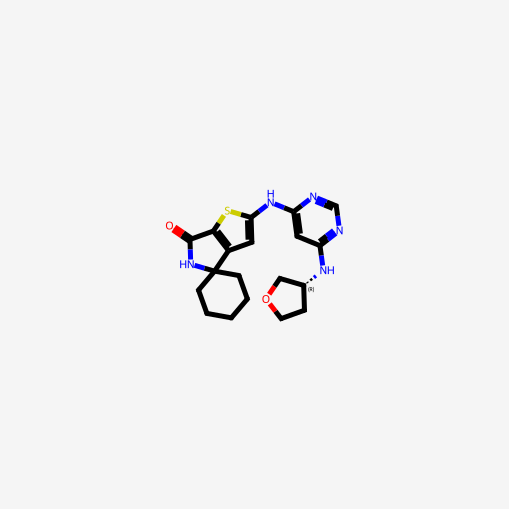 O=C1NC2(CCCCC2)c2cc(Nc3cc(N[C@@H]4CCOC4)ncn3)sc21